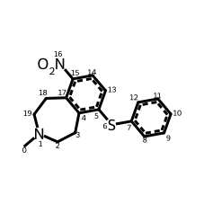 CN1CCc2c(Sc3ccccc3)ccc([N+](=O)[O-])c2CC1